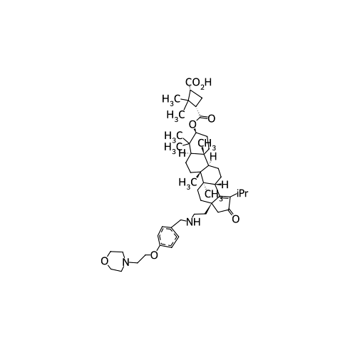 CC(C)C1=C2[C@H]3CC[C@@H]4[C@@]5(C)CC[C@H](OC(=O)[C@H]6C[C@@H](C(=O)O)C6(C)C)C(C)(C)[C@@H]5CC[C@@]4(C)[C@]3(C)CC[C@@]2(CCNCc2ccc(OCCN3CCOCC3)cc2)CC1=O